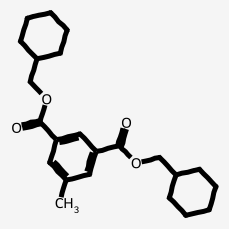 Cc1cc(C(=O)OCC2CCCCC2)cc(C(=O)OCC2CCCCC2)c1